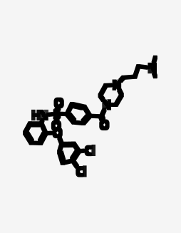 CN(C)CCCN1CCN(C(=O)c2ccc(S(=O)(=O)Nc3ccccc3Oc3ccc(Cl)c(Cl)c3)cc2)CC1